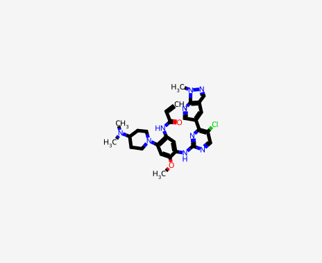 C=CC(=O)Nc1cc(Nc2ncc(Cl)c(-c3cnc4c(cnn4C)c3)n2)c(OC)cc1N1CCC(N(C)C)CC1